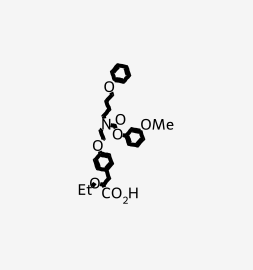 CCOC(Cc1ccc(OCCN(CCCCOc2ccccc2)C(=O)Oc2cccc(OC)c2)cc1)C(=O)O